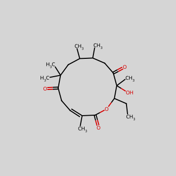 CCC1OC(=O)/C(C)=C\CC(=O)C(C)(C)CC(C)C(C)CC(=O)C1(C)O